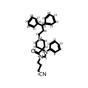 N#CCCCN1CN(c2ccccc2)C2(CCN(CCC(c3ccccc3)c3ccccc3)CC2)C1=O